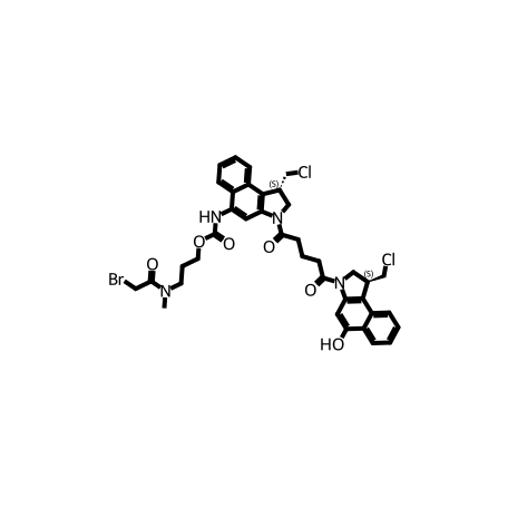 CN(CCCOC(=O)Nc1cc2c(c3ccccc13)[C@H](CCl)CN2C(=O)CCCC(=O)N1C[C@@H](CCl)c2c1cc(O)c1ccccc21)C(=O)CBr